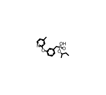 CCC(C)OP(=O)(O)Cc1cccc(Oc2cc(C)ccn2)c1